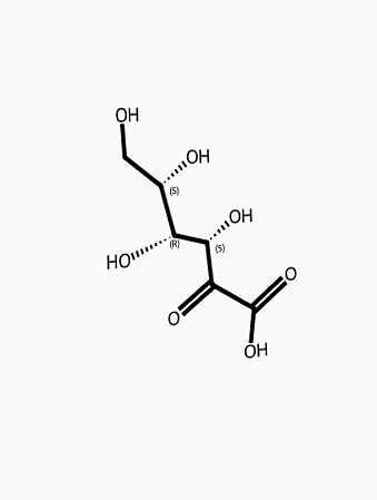 O=C(O)C(=O)[C@@H](O)[C@H](O)[C@@H](O)CO